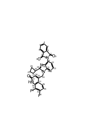 O=C1c2ccccc2C(=O)N1c1ccnc2c1nc(C1CCC1)n2Cc1cc(=O)[nH]c2c(F)c(F)ccc12